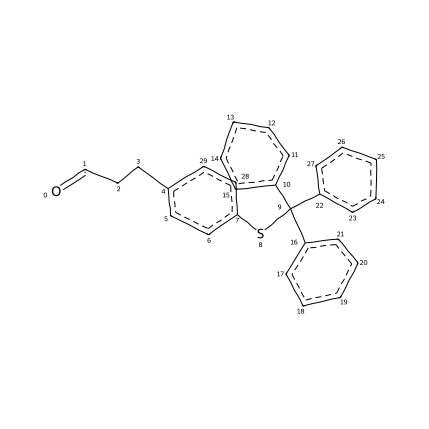 O=[C]CCc1ccc(SC(c2ccccc2)(c2ccccc2)c2ccccc2)cc1